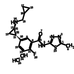 Cc1nnc(NC(=O)c2cc([C@@H]3C[C@H]3NCC3CC3)ccc2F)s1.Cl.Cl